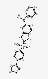 O=S(=O)(c1ccc(C2=NCCO2)cc1)N1Cc2cnc(C(O)c3ccccc3)cc2C1